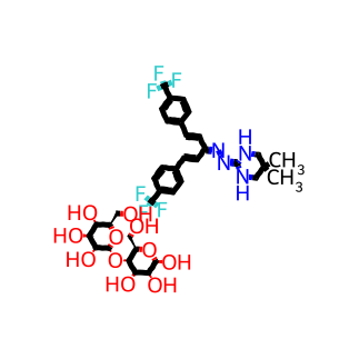 CC1(C)CNC(=NN=C(/C=C/c2ccc(C(F)(F)F)cc2)/C=C/c2ccc(C(F)(F)F)cc2)NC1.OC[C@H]1O[C@H](O[C@H]2[C@H](O)[C@@H](O)[C@H](O)O[C@@H]2CO)[C@H](O)[C@@H](O)[C@@H]1O